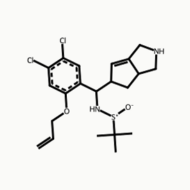 C=CCOc1cc(Cl)c(Cl)cc1C(N[S+]([O-])C(C)(C)C)C1C=C2CNCC2C1